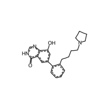 O=c1[nH]cnc2c(O)cc(-c3ccccc3CCCCN3CCCC3)cc12